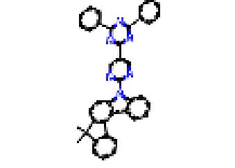 CC1(C)c2ccccc2-c2c1ccc1c2c2ccccc2n1-c1ncc(-c2nc(-c3ccccc3)nc(-c3ccccc3)n2)cn1